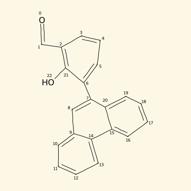 O=Cc1cccc(-c2cc3ccccc3c3ccccc23)c1O